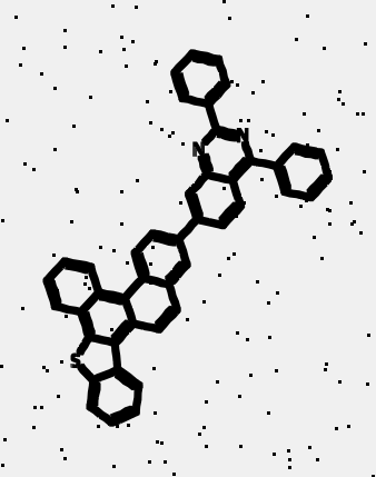 c1ccc(-c2nc(-c3ccccc3)c3ccc(-c4ccc5c(ccc6c5c5ccccc5c5sc7ccccc7c65)c4)cc3n2)cc1